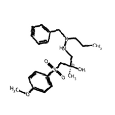 CCCN(Cc1ccccc1)NC[C@@](C)(O)CS(=O)(=O)c1ccc(OC)cc1